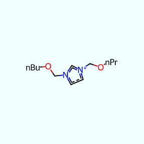 CCCCOCn1cc[n+](COCCC)c1